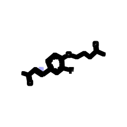 CC(=O)/C=C/c1ccc(OCCCC(C)=O)c(F)c1